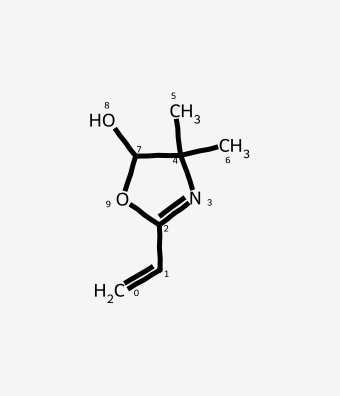 C=CC1=NC(C)(C)C(O)O1